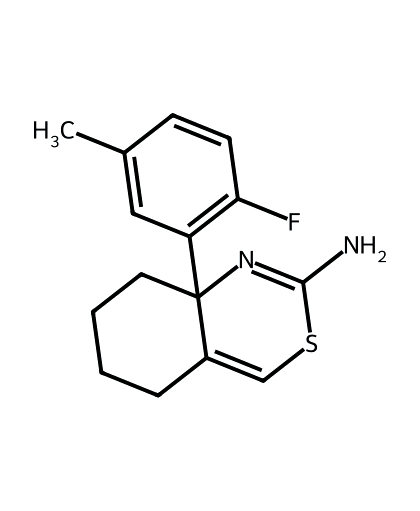 Cc1ccc(F)c(C23CCCCC2=CSC(N)=N3)c1